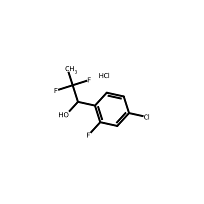 CC(F)(F)C(O)c1ccc(Cl)cc1F.Cl